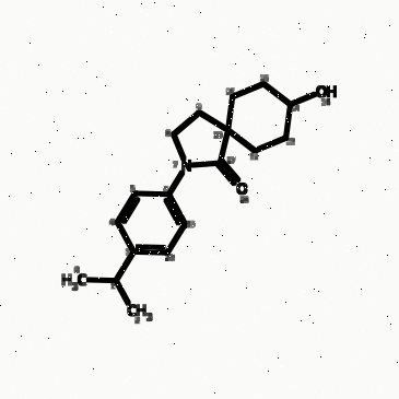 CC(C)c1ccc(N2CCC3(CCC(O)CC3)C2=O)cc1